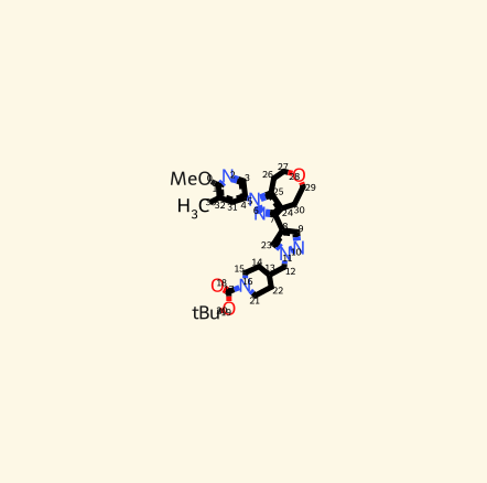 COc1ncc(-n2nc(-c3cnn(CC4CCN(C(=O)OC(C)(C)C)CC4)c3)c3c2CCOCC3)cc1C